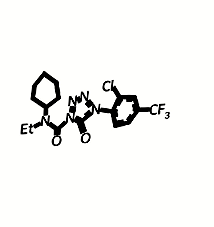 CCN(C(=O)n1nnn(-c2ccc(C(F)(F)F)cc2Cl)c1=O)C1CCCCC1